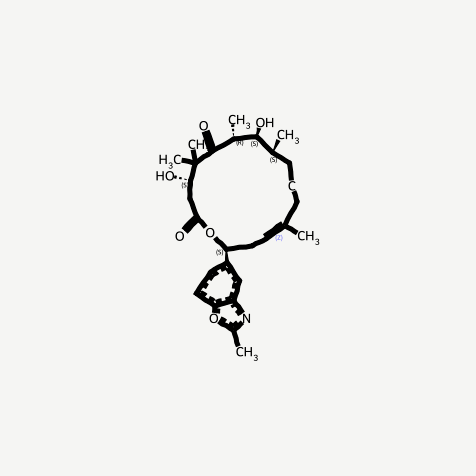 C/C1=C/C[C@@H](c2ccc3oc(C)nc3c2)OC(=O)C[C@H](O)C(C)(C)C(=O)[C@H](C)[C@@H](O)[C@@H](C)CCC1